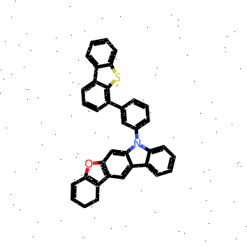 C1=Cc2oc3cc4c(cc3c2CC1)c1ccccc1n4-c1cccc(-c2cccc3c2sc2ccccc23)c1